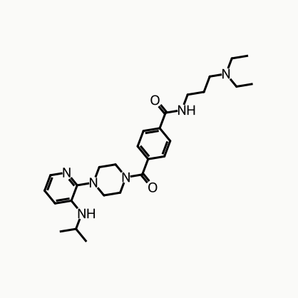 CCN(CC)CCCNC(=O)c1ccc(C(=O)N2CCN(c3ncccc3NC(C)C)CC2)cc1